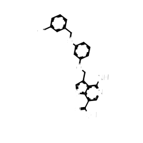 Nc1ncc(C(=O)O)c2scc(COc3cccc(OCc4cccc(Cl)c4)c3)c12